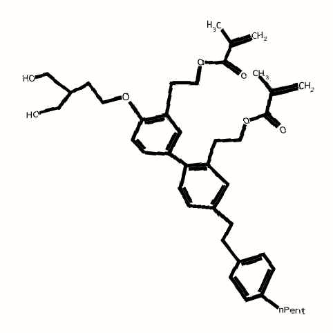 C=C(C)C(=O)OCCc1cc(-c2ccc(CCc3ccc(CCCCC)cc3)cc2CCOC(=O)C(=C)C)ccc1OCCC(CO)CO